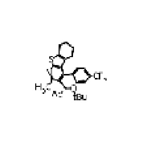 CC(=O)[C@@H](OC(C)(C)C)c1c(C)nc2sc3c(c2c1-c1ccc(C(F)(F)F)cc1)CCCC3